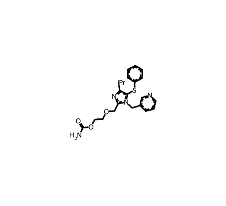 CC(C)c1nc(COCCOC(N)=O)n(Cc2cccnc2)c1Sc1ccccc1